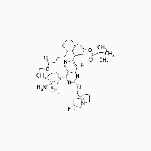 CCOC(=O)CCCC1CCCc2cc(OC(=O)C(C)(C)C)cc(-c3ncc4c(N5CCC[C@@](C)(N)C5)nc(OC[C@@]56CCCN5C[C@H](F)C6)nc4c3F)c21